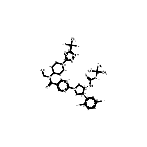 CCN(C(=O)c1cnc(N2C[C@H](NC(=O)OC(C)(C)C)[C@@H](c3cc(F)ccc3F)C2)nc1)C1CCN(c2nc(C(C)(F)F)no2)CC1